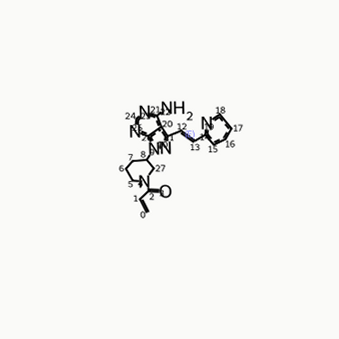 C=CC(=O)N1CCCC(n2nc(/C=C/c3ccccn3)c3c(N)ncnc32)C1